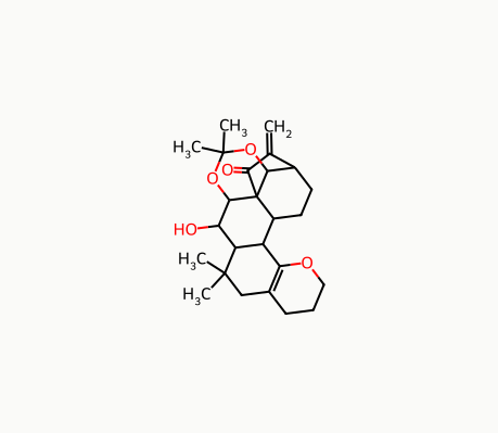 C=C1C(=O)C23C4CCC1C2OC(C)(C)OC3C(O)C1C4C2=C(CCCO2)CC1(C)C